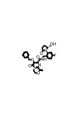 C=C1OCCn2c1nc(C(=O)NCc1ccc(F)cc1N1C(=O)CC[C@@H]1CO)c(OCc1ccccc1)c2=O